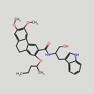 CCCC(C)Oc1cc2c(cc1C(=O)NC(CO)Cc1c[nH]c3ccccc13)-c1cc(OC)c(OC)cc1CC2